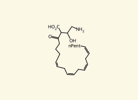 CCCCC/C=C\C/C=C\C/C=C\C/C=C\CCCC(=O)C(C(=O)O)C(O)CN